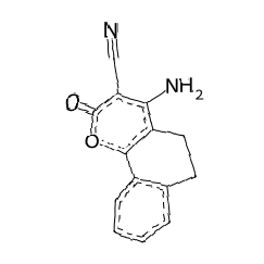 N#Cc1c(N)c2c(oc1=O)-c1ccccc1CC2